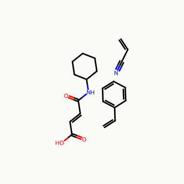 C=CC#N.C=Cc1ccccc1.O=C(O)C=CC(=O)NC1CCCCC1